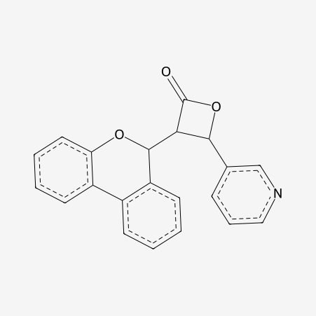 O=C1OC(c2cccnc2)C1C1Oc2ccccc2-c2ccccc21